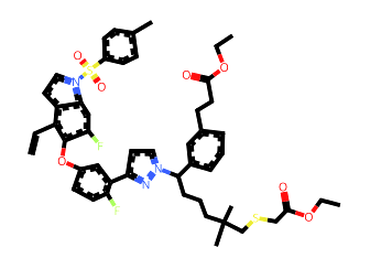 C=Cc1c(Oc2ccc(F)c(-c3ccn(C(CCCC(C)(C)CSCC(=O)OCC)c4cccc(CCC(=O)OCC)c4)n3)c2)c(F)cc2c1ccn2S(=O)(=O)c1ccc(C)cc1